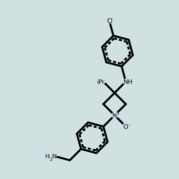 CC(C)C1(Nc2ccc(Cl)cc2)C[N+]([O-])(c2ccc(CN)cc2)C1